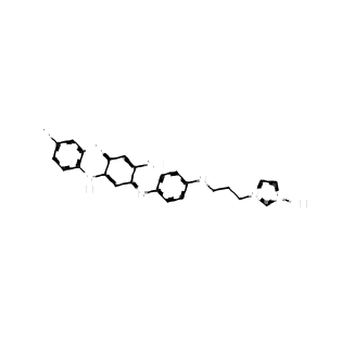 C[n+]1ccn(CCCNc2ccc(/N=C3/C=C(Nc4ccc(N)cc4)C(=N)C=C3N)cc2)c1